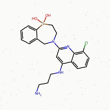 NCCCNc1cc(N2CCS(O)(O)c3ccccc3C2)nc2c(Cl)cccc12